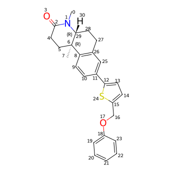 CN1C(=O)CC[C@]2(C)c3ccc(-c4ccc(COc5ccccc5)s4)cc3CC[C@@H]12